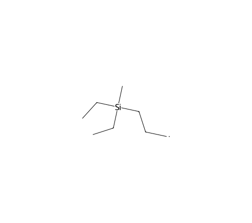 [CH2]CC[Si](C)(CC)CC